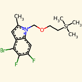 Cc1cc2c(Br)c(F)c(F)cc2n1COCC[Si](C)(C)C